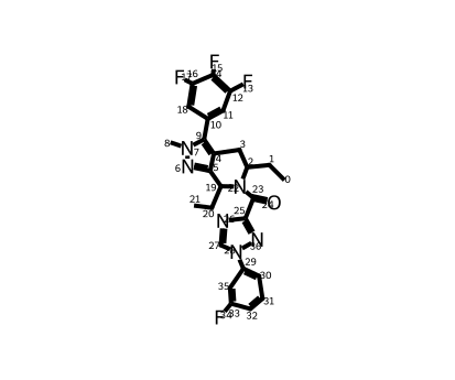 CCC1Cc2c(nn(C)c2-c2cc(F)c(F)c(F)c2)C(CC)N1C(=O)c1ncn(-c2cccc(F)c2)n1